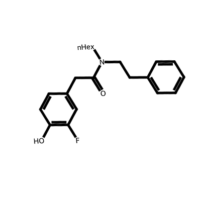 CCCCCCN(CCc1ccccc1)C(=O)Cc1ccc(O)c(F)c1